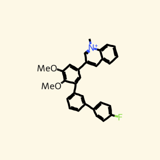 COc1cc(-c2cc3ccccc3[n+](C)c2)cc(-c2cccc(-c3ccc(F)cc3)c2)c1OC